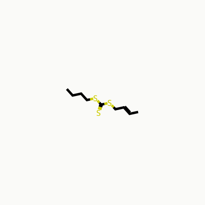 CC=CCSC(=S)SCCCC